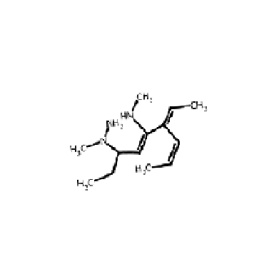 C\C=C/C(=C\C)C(=C/C(CC)N(C)N)/NC